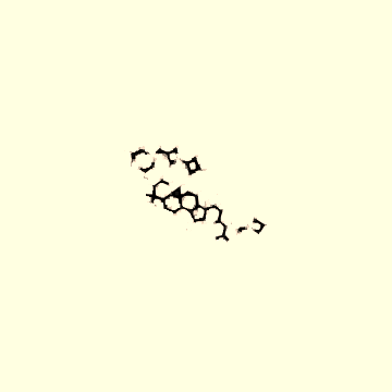 CC(C)[C@@H](OC(=O)N1CCC1)C1C[C@@H](C)[C@H]2C(O1)[C@H](O)[C@@]1(C)C3CC[C@H]4C(C)(C)[C@@H](O[C@H]5CN(CC6CN(C7CCC7)C6)CCO5)CC[C@@]45CC35CC[C@]21C